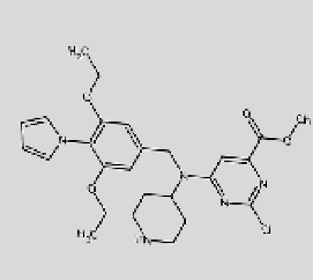 CCOc1cc(CN(c2cc(C(=O)OC)nc(Cl)n2)C2CCNCC2)cc(OCC)c1-n1cccc1